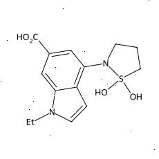 CCn1ccc2c(N3CCCS3(O)O)cc(C(=O)O)cc21